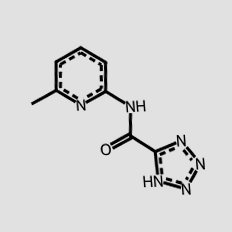 Cc1cccc(NC(=O)c2nnn[nH]2)n1